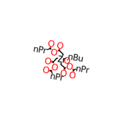 CCCC[O][Zr]([CH2]C(=O)OC(=O)CCC)([CH2]C(=O)OC(=O)CCC)[CH2]C(=O)OC(=O)CCC